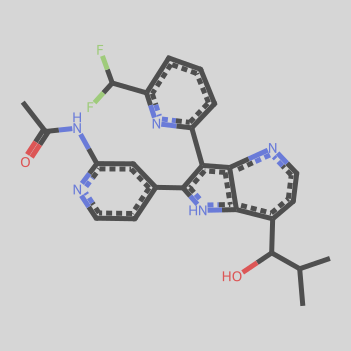 CC(=O)Nc1cc(-c2[nH]c3c(C(O)C(C)C)ccnc3c2-c2cccc(C(F)F)n2)ccn1